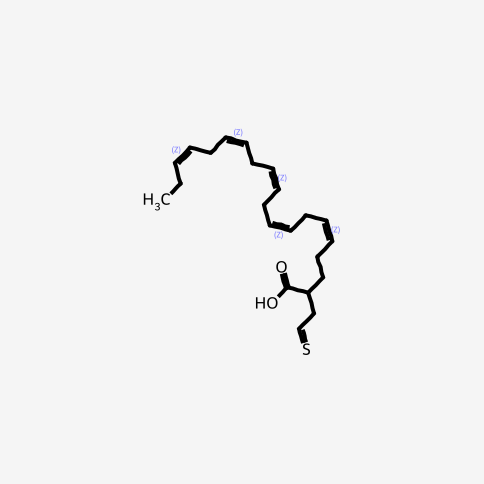 CC/C=C\C/C=C\C/C=C\C/C=C\C/C=C\CCC(CC=S)C(=O)O